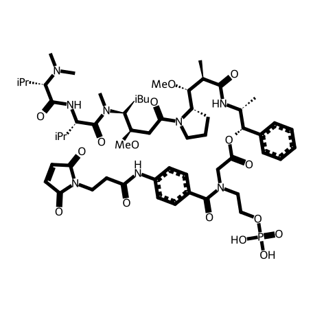 CC[C@H](C)[C@@H]([C@@H](CC(=O)N1CCC[C@H]1[C@H](OC)[C@@H](C)C(=O)N[C@H](C)[C@@H](OC(=O)CN(CCOP(=O)(O)O)C(=O)c1ccc(NC(=O)CCN2C(=O)C=CC2=O)cc1)c1ccccc1)OC)N(C)C(=O)[C@@H](NC(=O)[C@H](C(C)C)N(C)C)C(C)C